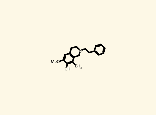 Bc1c(O)c(OC)cc2c1CN(CCc1ccccc1)CC2